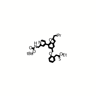 CCOC(=S)Cc1ccccc1OCc1cc(-c2ccnc(CNC(=O)OC(C)(C)C)c2)c2oc(CC(C)C)cc2c1